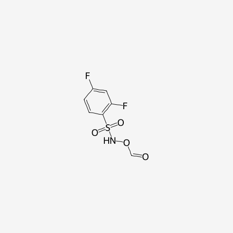 O=CONS(=O)(=O)c1ccc(F)cc1F